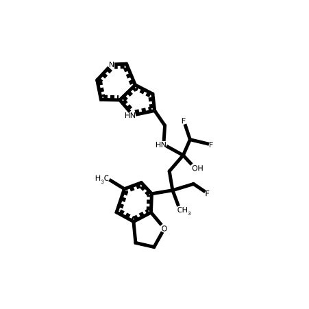 Cc1cc2c(c(C(C)(CF)CC(O)(NCc3cc4cnccc4[nH]3)C(F)F)c1)OCC2